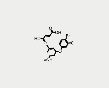 CNCCC(C=C(C)C)Oc1ccc(Br)c(Cl)c1.O=C(O)/C=C/C(=O)O